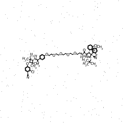 Cc1ccc([C@@]2(C#N)[C@H](CC(C)(C)C)N[C@@H](C(=O)NCCOCCOCCOCCOCCOc3ccc(C(=O)N[C@H]4C(C)(C)[C@H](Oc5ccc(C#N)c(Cl)c5)C4(C)C)cc3)[C@@H]2c2cccc(Cl)c2F)c(F)c1